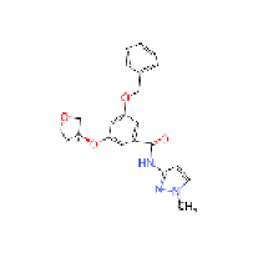 Cn1ccc(NC(=O)c2cc(OCc3ccccc3)cc(O[C@H]3CCOC3)c2)n1